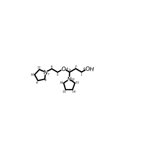 OCCC(OCCN1CCCC1)N1CCCC1